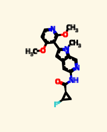 COc1ccnc(OC)c1-c1cc2cc(NC(=O)[C@H]3C[C@H]3F)ncc2n1C